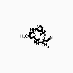 Cc1cc(Nc2cc(C(F)(F)F)ccn2)nc(-c2cn(C(C)C(O)CC#N)nn2)c1